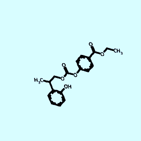 CCOC(=O)c1ccc(OC(=O)OCC(C)c2ccccc2O)cc1